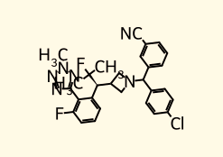 Cn1nnc(-c2c(F)cccc2[C@H](C2CN(C(c3ccc(Cl)cc3)c3cccc(C#N)c3)C2)C(C)(C)F)n1